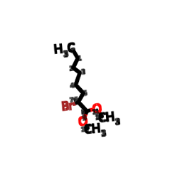 CCCCCCC(Br)C(OC)OC